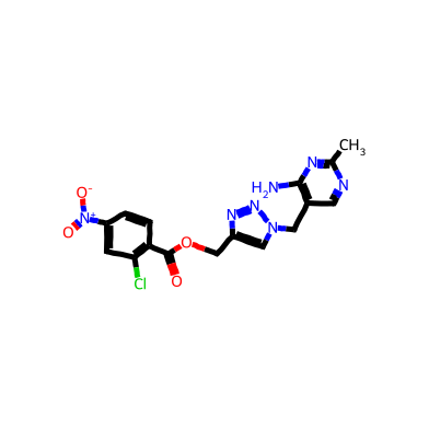 Cc1ncc(Cn2cc(COC(=O)c3ccc([N+](=O)[O-])cc3Cl)nn2)c(N)n1